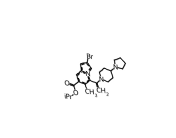 C=C(c1c(C)c(C(=O)OC(C)C)cc2cc(Br)cn12)N1CCC(N2CCCC2)CC1